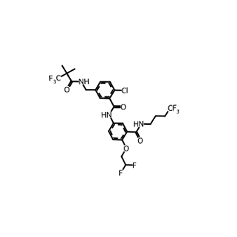 CC(C)(C(=O)NCc1ccc(Cl)c(C(=O)Nc2ccc(OCC(F)F)c(C(=O)NCCCC(F)(F)F)c2)c1)C(F)(F)F